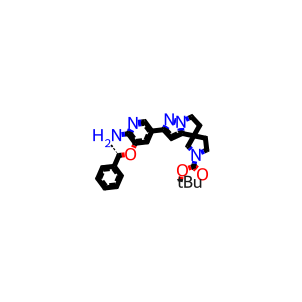 C[C@H](Oc1cc(-c2cc3n(n2)CCC32CCN(C(=O)OC(C)(C)C)C2)cnc1N)c1ccccc1